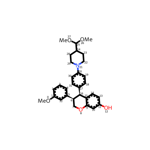 COc1cccc([C@@H]2COc3cc(O)ccc3[C@@H]2c2ccc(N3CCC(C(OC)OC)CC3)cc2)c1